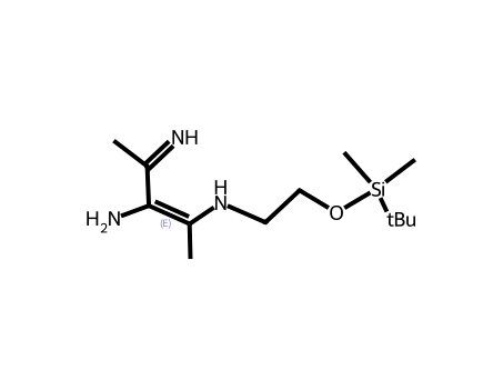 CC(=N)/C(N)=C(/C)NCCO[Si](C)(C)C(C)(C)C